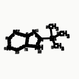 C[Si](C)(C)c1nc2ncncc2[nH]1